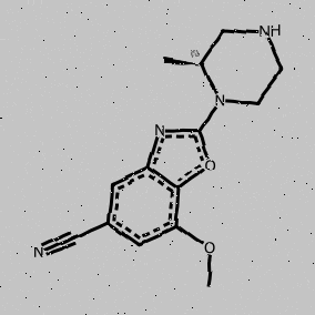 COc1cc(C#N)cc2nc(N3CCNC[C@@H]3C)oc12